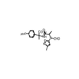 COc1ccc(C(C)(NC(=O)C(C)N(C=O)c2cc(C)no2)C(=O)O)cc1